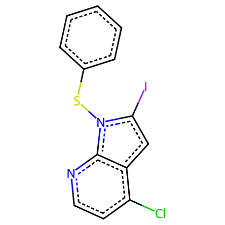 Clc1ccnc2c1cc(I)n2Sc1ccccc1